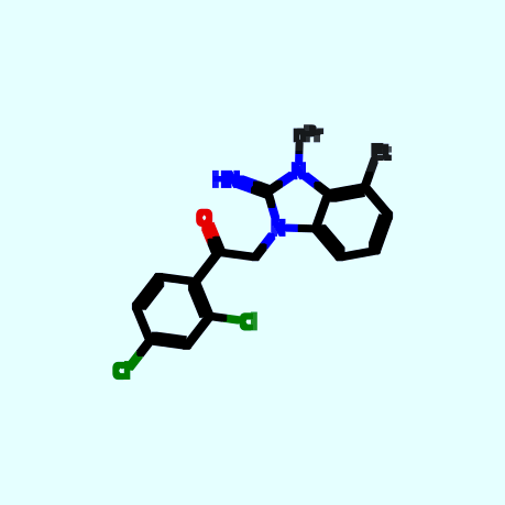 CCCn1c(=N)n(CC(=O)c2ccc(Cl)cc2Cl)c2cccc(CC)c21